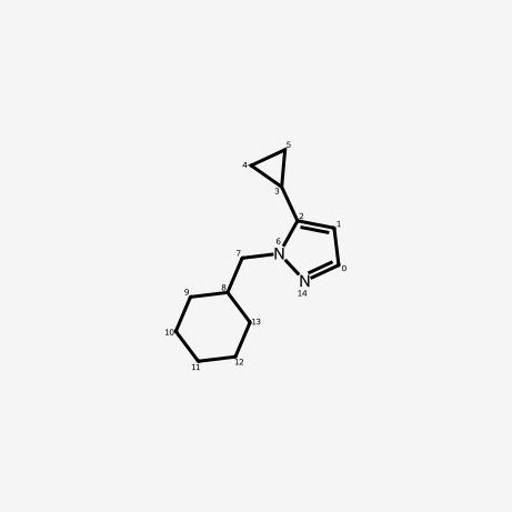 c1cc(C2CC2)n(CC2CCCCC2)n1